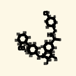 C=C(NCc1ccc(Cl)cc1)c1ccc2c(c1)c(C)c(C)n2Cc1ccc(-c2ccccc2C(=O)O)cc1